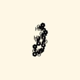 CC(C)NCC(=O)N1CCCC(c2cccc(C(=O)N[C@@H](C(=O)N3CCN(CC4CCN(CC(=O)N5CCN(C(=O)c6cc(Cc7n[nH]c(=O)c8ccccc78)ccc6F)CC5)CC4)CC3)C3CCCCC3)c2)C1